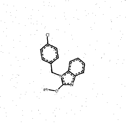 CC(C)Oc1nc2ccccc2n1Cc1ccc(Cl)cc1